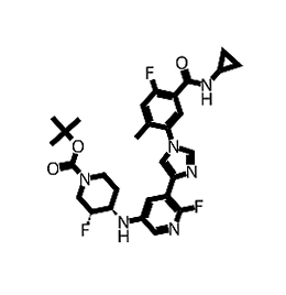 Cc1cc(F)c(C(=O)NC2CC2)cc1-n1cnc(-c2cc(N[C@H]3CCN(C(=O)OC(C)(C)C)C[C@H]3F)cnc2F)c1